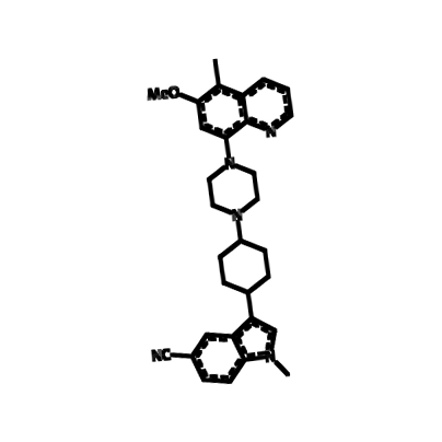 COc1cc(N2CCN(C3CCC(c4cn(C)c5ccc(C#N)cc45)CC3)CC2)c2ncccc2c1C